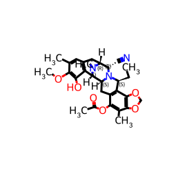 CC[C@H]1c2c(c(OC(C)=O)c(C)c3c2OCO3)C[C@H]2[C@@H]3c4c(cc(C)c(OC)c4O)C[C@H]([C@H](C#N)N12)N3C